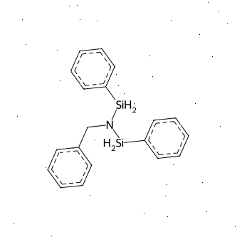 c1ccc(CN([SiH2]c2ccccc2)[SiH2]c2ccccc2)cc1